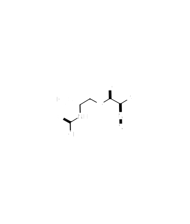 CC(=O)C(=[N+]=[N-])C(=O)OC[C@H](NC(=O)C(F)(F)F)C(=O)O